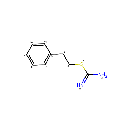 N=C(N)SCCc1cc[c]cc1